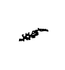 COC[C@H]1O[C@@H](N2C=CC(N(C)CC(C)C)=NC2)CS1